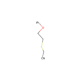 CC(C)OCCSCC#N